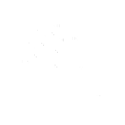 CN(C)C(=O)n1c(=O)n(C)c2cnc(CCOc3ccc(C(F)(F)F)cc3)nc21.Cl